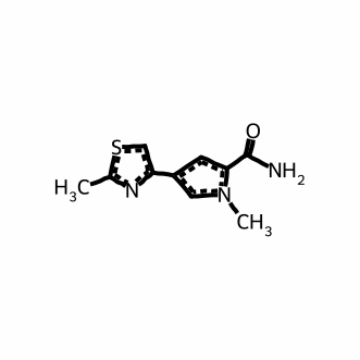 Cc1nc(-c2cc(C(N)=O)n(C)c2)cs1